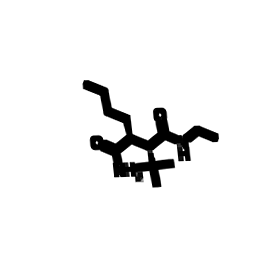 CCCC[C@H](C(N)=O)[C@H](C(=O)NCC)C(C)(C)C